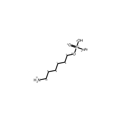 CCCP(=O)(O)OCCCCCCN